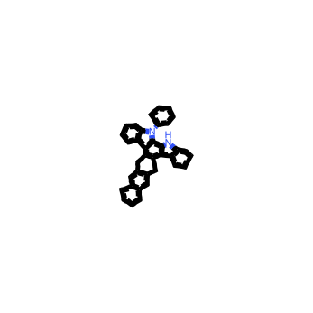 c1ccc(-n2c3ccccc3c3c4c(c5c6ccccc6[nH]c5c32)Cc2cc3ccccc3cc2C4)cc1